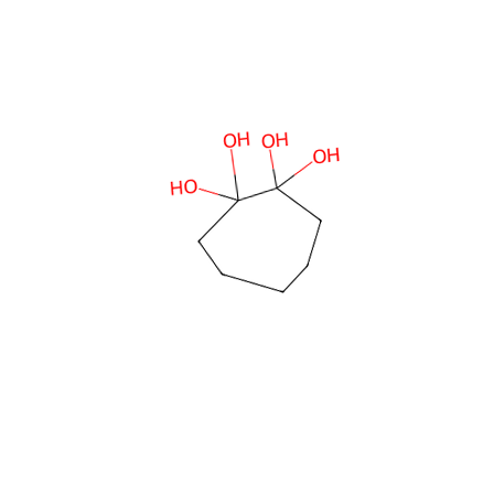 OC1(O)CCCCCC1(O)O